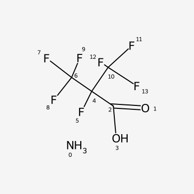 N.O=C(O)C(F)(C(F)(F)F)C(F)(F)F